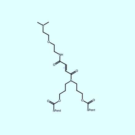 CCCCCC(=O)OCCCN(CCCOC(=O)CCCCC)C(=O)/C=C/C(=O)NCCOCCN(C)C